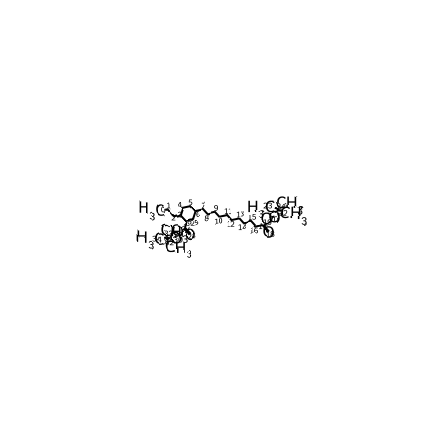 CCCC1CCC(CCCCCCCCCCC(=O)OOC(C)(C)C)CC1C(=O)OOC(C)(C)C